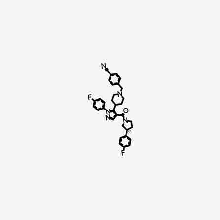 N#Cc1ccc(CN2CCC(c3c(C(=O)N4CC[C@@H](c5ccc(F)cc5)C4)cnn3-c3ccc(F)cc3)CC2)cc1